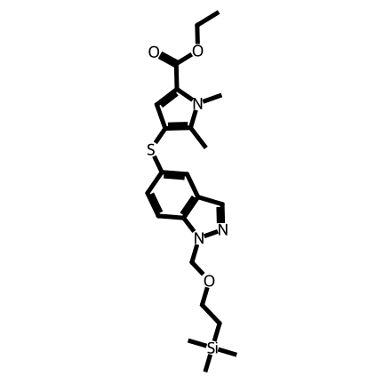 CCOC(=O)c1cc(Sc2ccc3c(cnn3COCC[Si](C)(C)C)c2)c(C)n1C